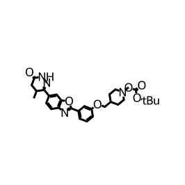 CC1CC(=O)NN=C1c1ccc2nc(-c3cccc(OCC4CCN(OC(=O)OC(C)(C)C)CC4)c3)oc2c1